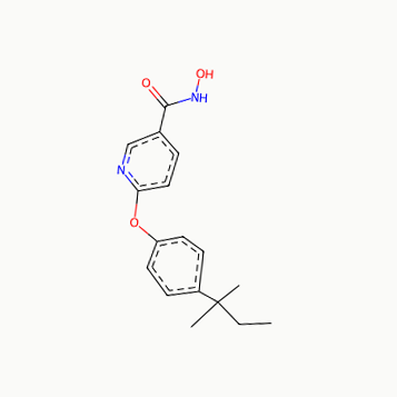 CCC(C)(C)c1ccc(Oc2ccc(C(=O)NO)cn2)cc1